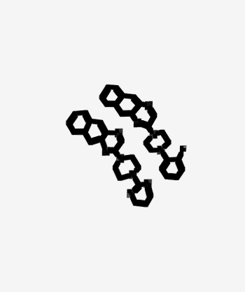 Fc1ccccc1N1CCN(c2cnc3cc4ccccc4cc3n2)CC1.c1cnc(N2CCN(c3cnc4cc5ccccc5cc4n3)CC2)nc1